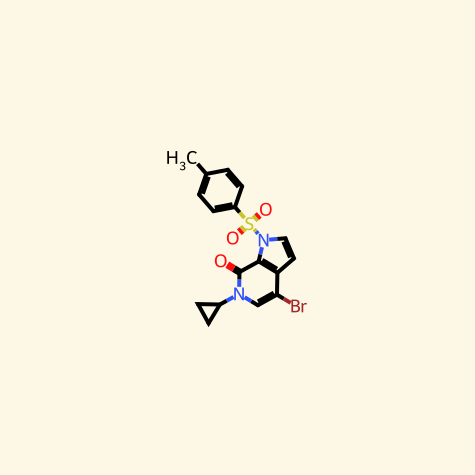 Cc1ccc(S(=O)(=O)n2ccc3c(Br)cn(C4CC4)c(=O)c32)cc1